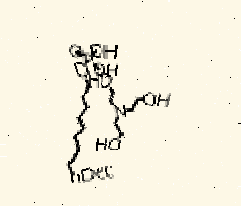 CCCCCCCCCCCCCCCCCCOP(=O)(O)O.OCCN(CCO)CCO